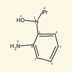 CC(C)N(O)c1ccccc1N